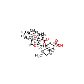 CCC(C)(C)C(=O)O[C@H]1C[C@@H](C(=O)O)C[C@@H]2CC[C@H](C)[C@H](CC[C@@H]3C[C@@H](O[Si](C)(C)C(C)(C)C)CC(=O)O3)[C@H]21